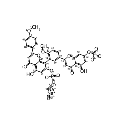 COc1ccc(-c2cc(=O)c3c(O)cc(OP(=O)([O-])[O-])c(-c4cc(-c5cc(=O)c6c(O)cc(OP(=O)([O-])[O-])cc6o5)ccc4OC)c3o2)cc1.[Na+].[Na+].[Na+].[Na+]